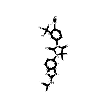 [C-]#[N+]c1ccc(N2C(=O)C(C)(C)N(c3ccc4sc(NC(C)=O)nc4c3)C2=S)cc1C(F)(F)F